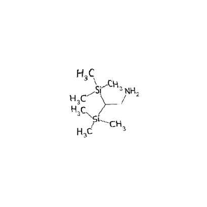 C[Si](C)(C)C(CN)[Si](C)(C)C